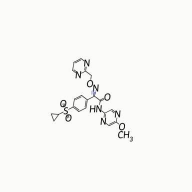 COc1cnc(NC(=O)/C(=N/OCc2ncccn2)c2ccc(S(=O)(=O)C3CC3)cc2)cn1